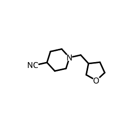 N#CC1CCN(CC2CCOC2)CC1